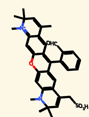 CC1=CC(C)(C)[N+](C)=c2cc3c(cc21)=C(c1ccccc1C=O)c1cc2c(cc1O3)N(C)C(C)(C)C=C2CS(=O)(=O)O